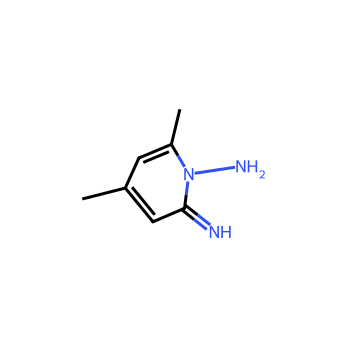 Cc1cc(C)n(N)c(=N)c1